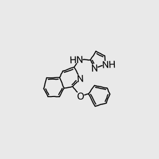 c1ccc(Oc2nc(Nc3cc[nH]n3)cc3ccccc23)cc1